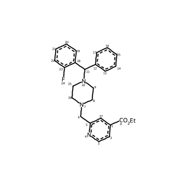 CCOC(=O)c1ccnc(CN2CCN(C(c3ccccc3)c3ccccc3F)CC2)c1